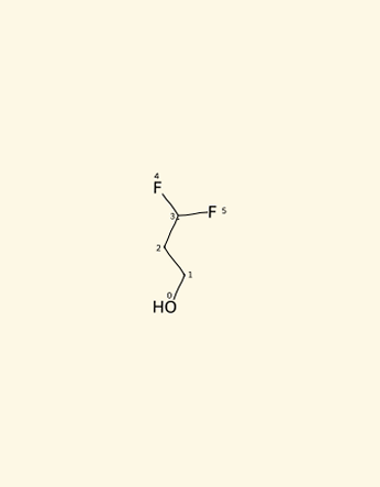 OCC[C](F)F